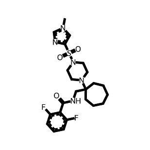 Cn1cnc(S(=O)(=O)N2CCN(C3(CNC(=O)c4c(F)cccc4F)CCCCCC3)CC2)c1